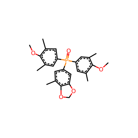 COc1c(C)cc(P(=O)(c2cc(C)c(OC)c(C)c2)c2cc(C)c3c(c2)OCO3)cc1C